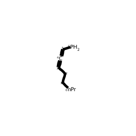 CCCCCC=C=CP